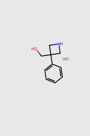 Cl.OCC1(c2ccccc2)CNC1